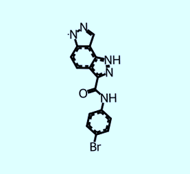 O=C(Nc1ccc(Br)cc1)c1n[nH]c2c3c(ccc12)[N]N=C3